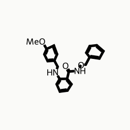 COc1ccc(CNc2ccccc2C(=O)NOCc2ccccc2)cc1